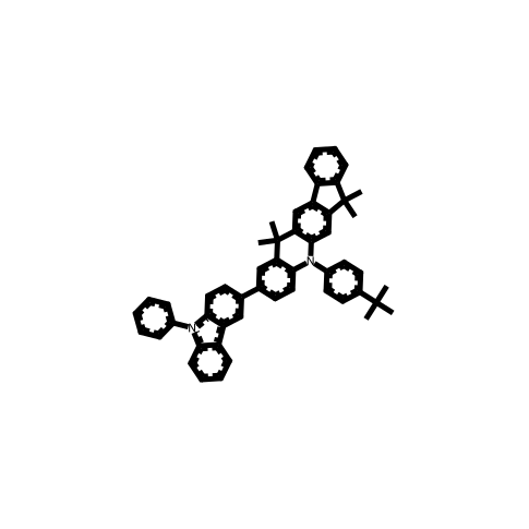 CC(C)(C)c1ccc(N2c3ccc(-c4ccc5c(c4)c4ccccc4n5-c4ccccc4)cc3C(C)(C)c3cc4c(cc32)C(C)(C)c2ccccc2-4)cc1